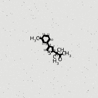 CC(=O)C(C)(C)c1cc(-c2cccc(C)c2)cs1